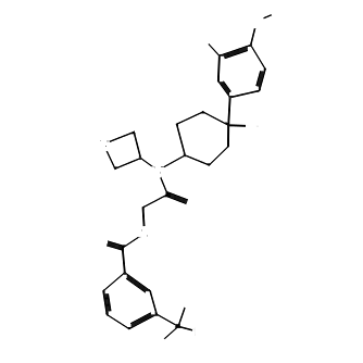 COc1ccc(C2(O)CCC(N(C(=O)CNC(=O)c3cccc(C(F)(F)F)c3)C3CNC3)CC2)cc1F